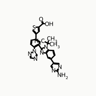 CC(C)(C)n1c(-c2cc(-c3csc(C(=O)O)c3)ccc2-n2cncn2)nc2cc(-c3cnc(N)nc3)ccc21